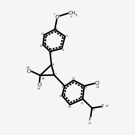 COc1ccc(C2C(c3ccc(C(F)F)c(Cl)c3)C2(Cl)Cl)cc1